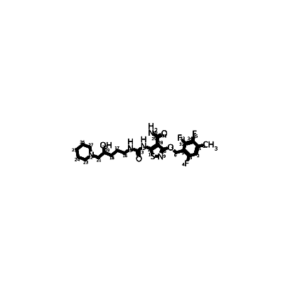 Cc1cc(F)c(COc2nsc(NC(=O)NCCCC(O)CN3CCCCC3)c2C(N)=O)c(F)c1F